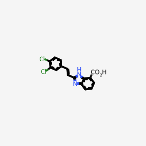 O=C(O)c1cccc2nc(C=Cc3ccc(Cl)c(Cl)c3)[nH]c12